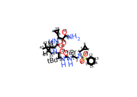 CC(C)[C@@H](CN(CC1CC1)S(=O)(=O)c1ccccc1)NC(=O)N[C@H](C(=O)N1C[C@H]2[C@@H]([C@H]1C(=O)NC(C(=O)C(N)=O)C1CC1)C2(C)C)C(C)(C)C